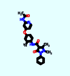 [2H]c1cc(Oc2ccnc(NC(C)=O)c2)ccc1NC(=O)c1c(C)n(C)n(-c2ccccc2)c1=O